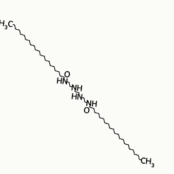 CCCCCCCCCCCCCCCCCCCCCC(=O)NCCNCCNCCNC(=O)CCCCCCCCCCCCCCCCCCCCC